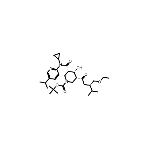 CCOC[C@H](CC(=O)[C@@H]1CN(C(=O)OC(C)(C)C)C[C@H](C(=O)N(c2ccc(C(C)C)cn2)C2CC2)[C@@H]1O)C(C)C